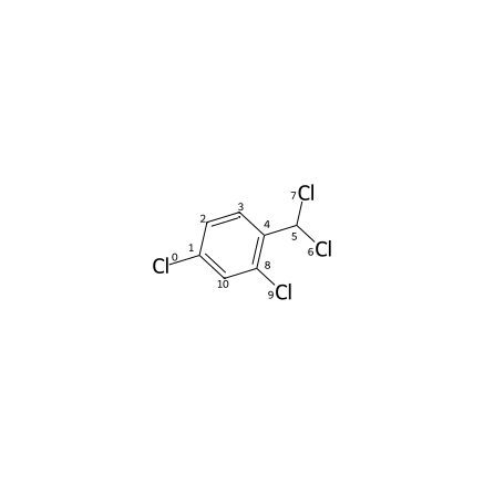 Clc1c[c]c(C(Cl)Cl)c(Cl)c1